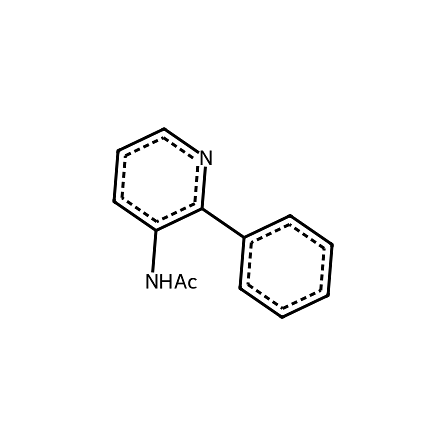 CC(=O)Nc1cccnc1-c1ccccc1